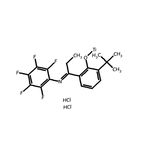 CCC(=Nc1c(F)c(F)c(F)c(F)c1F)c1cccc(C(C)(C)C)c1[O][Ti].Cl.Cl